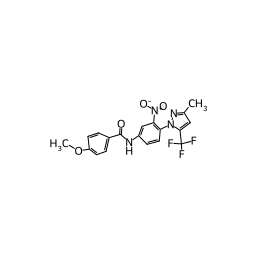 COc1ccc(C(=O)Nc2ccc(-n3nc(C)cc3C(F)(F)F)c([N+](=O)[O-])c2)cc1